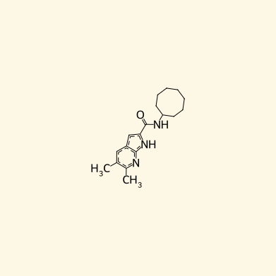 Cc1cc2cc(C(=O)NC3CCCCCCC3)[nH]c2nc1C